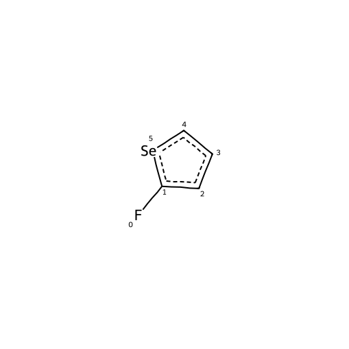 Fc1ccc[se]1